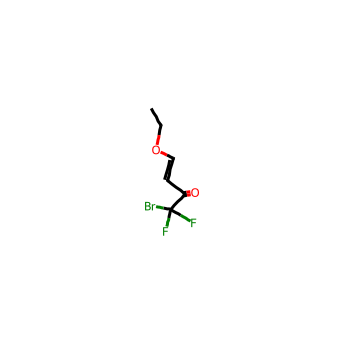 CCOC=CC(=O)C(F)(F)Br